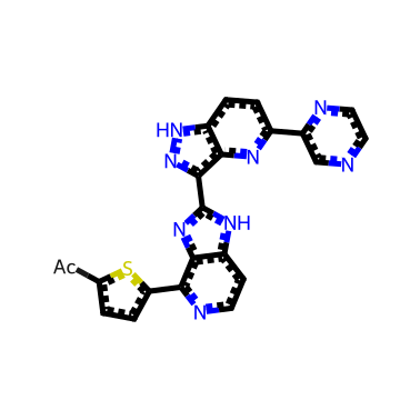 CC(=O)c1ccc(-c2nccc3[nH]c(-c4n[nH]c5ccc(-c6cnccn6)nc45)nc23)s1